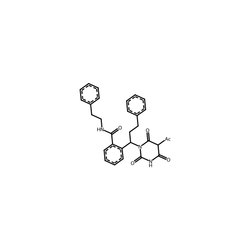 CC(=O)C1C(=O)NC(=O)N(C(CCc2ccccc2)c2ccccc2C(=O)NCCc2ccccc2)C1=O